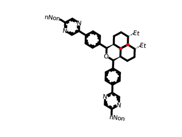 CCCCCCCCCc1cnc(-c2ccc(C(OC(c3ccc(-c4cnc(CCCCCCCCC)cn4)cc3)[C@H]3CC[C@H](CC)CC3)[C@H]3CC[C@H](CC)CC3)cc2)cn1